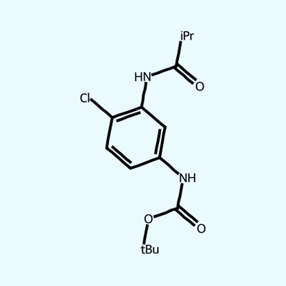 CC(C)C(=O)Nc1cc(NC(=O)OC(C)(C)C)ccc1Cl